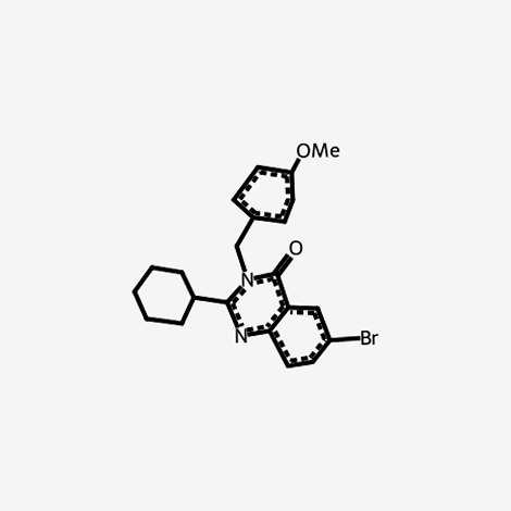 COc1ccc(Cn2c(C3CCCCC3)nc3ccc(Br)cc3c2=O)cc1